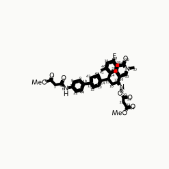 COC(=O)CC(=O)Nc1ccc(-c2ccc(C(C/C(=N\OC(=O)CC(=O)OC)c3ccc(=O)n(C)c3)c3ccc(F)cc3C)cc2)cc1